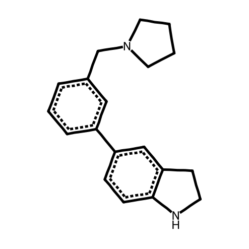 c1cc(CN2CCCC2)cc(-c2ccc3c(c2)CCN3)c1